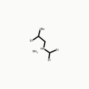 CCCCC(CC)CNC(CC)CC.N